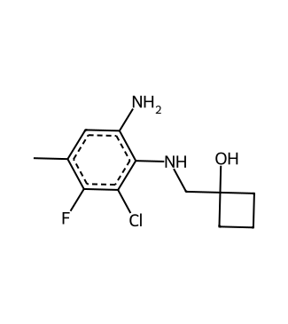 Cc1cc(N)c(NCC2(O)CCC2)c(Cl)c1F